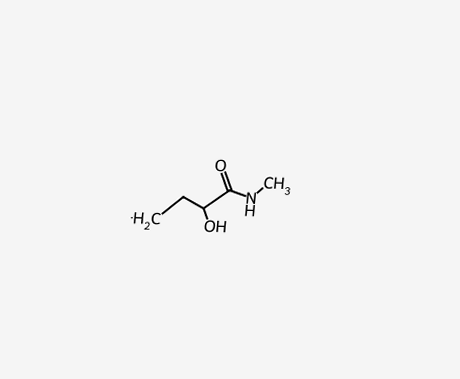 [CH2]CC(O)C(=O)NC